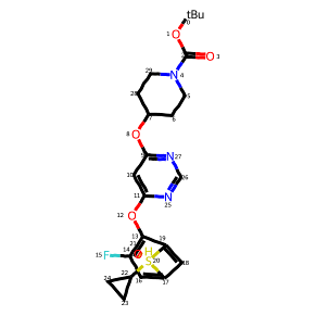 CC(C)(C)OC(=O)N1CCC(Oc2cc(Oc3c(F)cc4cc3[SH]4(=O)C3CC3)ncn2)CC1